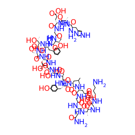 CC(C)C[C@H](NC(=O)[C@H](Cc1ccc(O)cc1)NC(=O)[C@H](CO)NC(=O)[C@H](CO)NC(=O)[C@@H](NC(=O)[C@H](CC(=O)O)NC(=O)[C@H](CO)NC(=O)[C@@H](NC(=O)[C@H](Cc1ccccc1)NC(=O)[C@@H](NC(=O)CNC(=O)[C@H](CCC(=O)O)NC(=O)[C@H](C)NC(=O)[C@H](N)Cc1c[nH]cn1)[C@@H](C)O)[C@@H](C)O)C(C)C)C(=O)N[C@@H](CCC(=O)O)C(=O)NCC(=O)N[C@@H](CCC(N)=O)C(=O)N[C@@H](C)C(=O)N[C@@H](C)C(=O)N[C@@H](CCCCN)C(=O)O